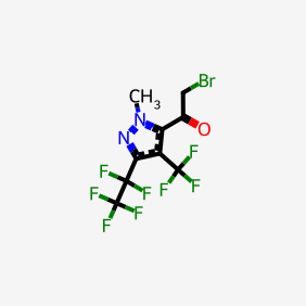 Cn1nc(C(F)(F)C(F)(F)F)c(C(F)(F)F)c1C(=O)CBr